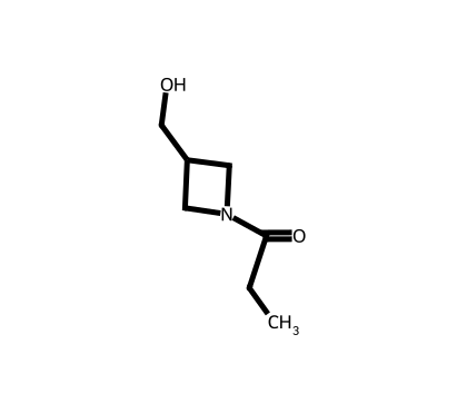 CCC(=O)N1CC(CO)C1